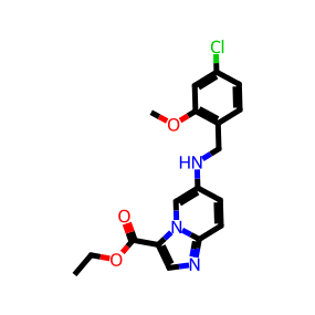 CCOC(=O)c1cnc2ccc(NCc3ccc(Cl)cc3OC)cn12